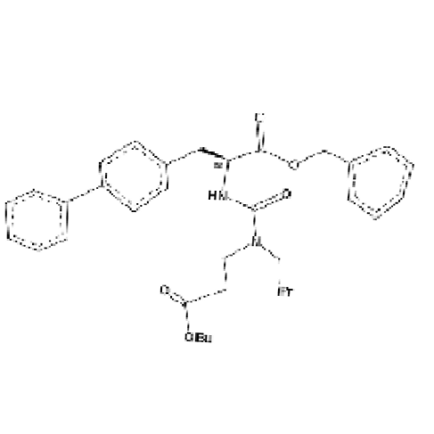 CC(C)COC(=O)CCN(CC(C)C)C(=O)N[C@@H](Cc1ccc(-c2ccccc2)cc1)C(=O)OCc1ccccc1